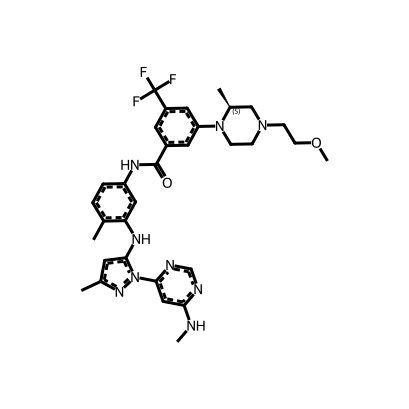 CNc1cc(-n2nc(C)cc2Nc2cc(NC(=O)c3cc(N4CCN(CCOC)C[C@@H]4C)cc(C(F)(F)F)c3)ccc2C)ncn1